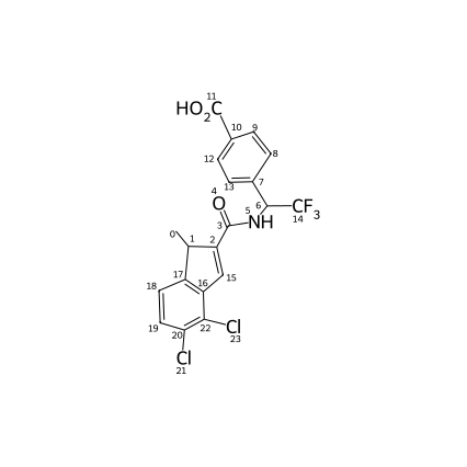 CC1C(C(=O)NC(c2ccc(C(=O)O)cc2)C(F)(F)F)=Cc2c1ccc(Cl)c2Cl